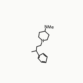 CNC1CCN(CCC(C)c2ccccc2)CC1